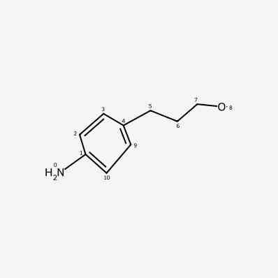 Nc1ccc(CCC[O])cc1